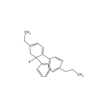 CCCc1ccc(C2=CC=C(CC)CC2(F)c2ccccc2)cc1